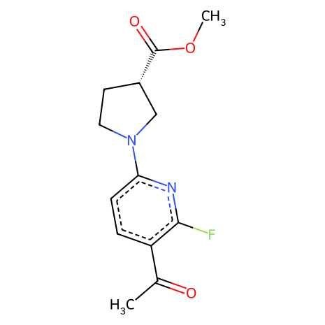 COC(=O)[C@H]1CCN(c2ccc(C(C)=O)c(F)n2)C1